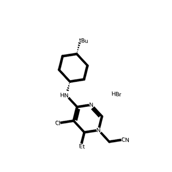 Br.CCC1C(Cl)=C(N[C@H]2CC[C@@H](C(C)(C)C)CC2)N=CN1CC#N